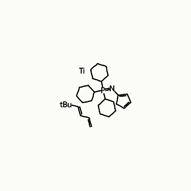 C1=CCC(N=P(C2CCCCC2)(C2CCCCC2)C2CCCCC2)=C1.C=CC=CC(C)(C)C.[Ti]